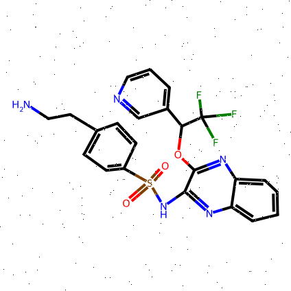 NCCc1ccc(S(=O)(=O)Nc2nc3ccccc3nc2OC(c2cccnc2)C(F)(F)F)cc1